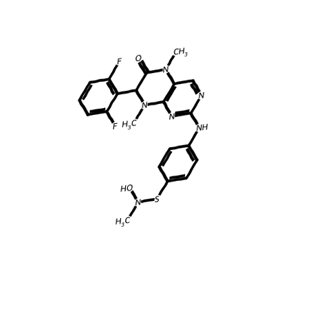 CN(O)Sc1ccc(Nc2ncc3c(n2)N(C)C(c2c(F)cccc2F)C(=O)N3C)cc1